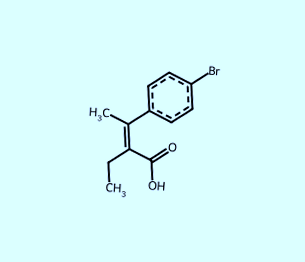 CC/C(C(=O)O)=C(\C)c1ccc(Br)cc1